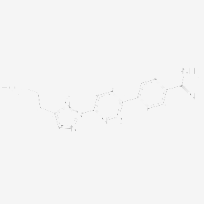 N=C(N)c1ccc(-c2ccc(-n3ncc(CCC(=O)O)n3)nn2)cc1